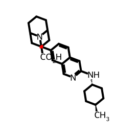 C[C@H]1CC[C@H](Nc2cc3ccc(CN4C5CCCC4CC(C(=O)O)C5)cc3cn2)CC1